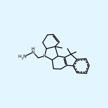 CC1(C)C2=C(CCC3C2C2(C)C=CCCC2N3CNN)c2ccccc21